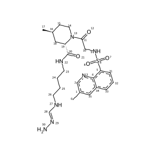 Cc1cnc2c(S(=O)(=O)NCC(=O)N3CC[C@H](C)C[C@H]3C(=O)NCCCCNC=NN)cccc2c1